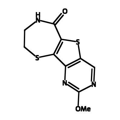 COc1ncc2sc3c(c2n1)SCCNC3=O